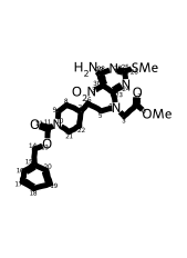 COC(=O)CN(CCC1CCN(C(=O)OCc2ccccc2)CC1)c1nc(SC)nc(N)c1[N+](=O)[O-]